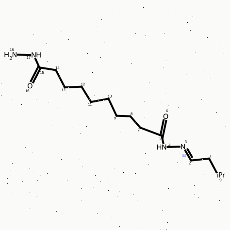 CC(C)C/C=N/NC(=O)CCCCCCCCC(=O)NN